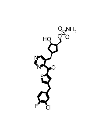 NS(=O)(=O)OC[C@H]1C[C@@H](Cc2cncnc2C(=O)c2cc(Cc3ccc(F)c(Cl)c3)cs2)C[C@@H]1O